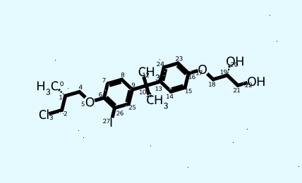 C[C@@H](CCl)COc1ccc(C(C)(C)c2ccc(OC[C@H](O)CO)cc2)cc1I